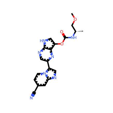 COC[C@H](C)NC(=O)Oc1c[nH]c2ncc(-c3cnc4cc(C#N)ccn34)nc12